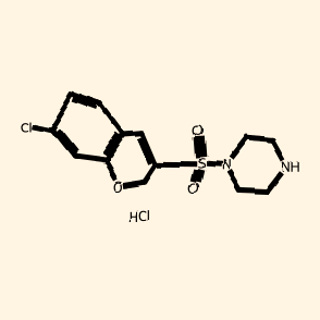 Cl.O=S(=O)(C1=Cc2ccc(Cl)cc2OC1)N1CCNCC1